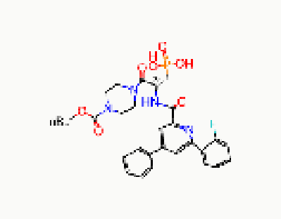 CCCCOC(=O)N1CCN(C(=O)[C@H](CP(=O)(O)O)NC(=O)c2cc(-c3ccccc3)cc(-c3ccccc3F)n2)CC1